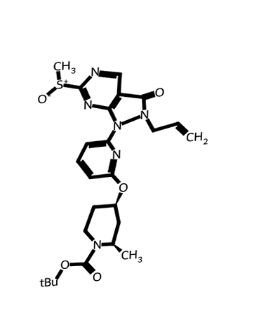 C=CCn1c(=O)c2cnc([S+](C)[O-])nc2n1-c1cccc(O[C@@H]2CCN(C(=O)OC(C)(C)C)[C@H](C)C2)n1